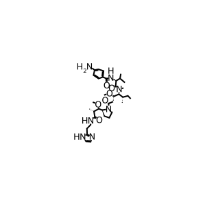 CC[C@H](C)[C@@H]([C@H](CC(=O)N1CCC[C@H]1[C@H](OC)[C@@H](C)C(=O)NCCc1ncc[nH]1)OC)N(C)C(=O)[C@@H](NC(=O)c1ccc(N)cc1)C(C)C